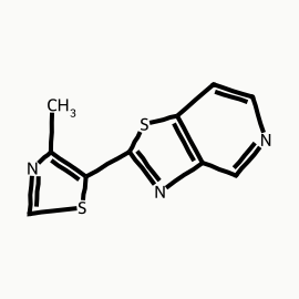 Cc1ncsc1-c1nc2cnccc2s1